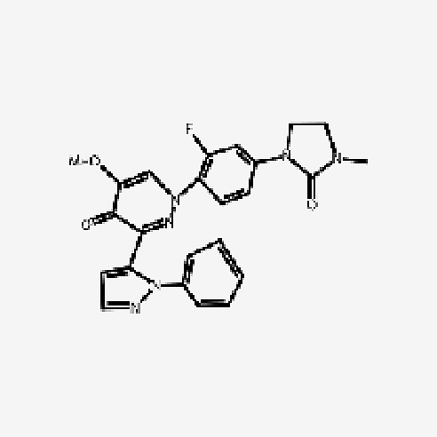 COc1cn(-c2ccc(N3CCN(C)C3=O)cc2F)nc(-c2ccnn2-c2ccccc2)c1=O